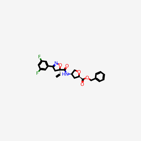 C=C[C@]1(C(=O)N[C@H]2CO[C@@H](C(=O)OCc3ccccc3)C2)CC(c2cc(F)cc(F)c2)=NO1